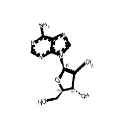 CC1[C@H](n2cnc3c(N)ncnc32)O[C@H](CO)[C@H]1O